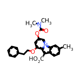 Cc1ccc2c(C(=O)O)c3c(OCCc4ccccc4)cc(OC(=O)N(C)C)cn3c2c1